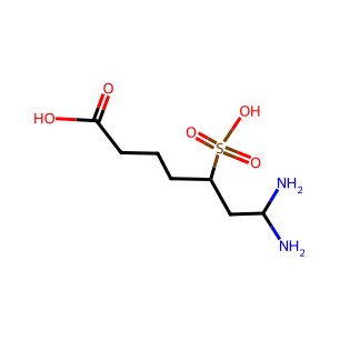 NC(N)CC(CCCC(=O)O)S(=O)(=O)O